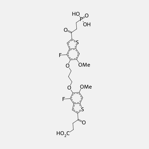 COc1cc2sc(C(=O)CCC(=O)O)cc2c(F)c1OCCCOc1c(OC)cc2sc(C(=O)CCP(=O)(O)O)cc2c1F